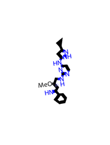 CO/C(=C\C(=N)c1ccccc1)CNc1nccc(Nc2cc(C3CC3)n[nH]2)n1